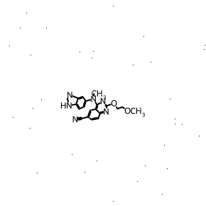 COCCOc1nc(N(C)c2ccc3[nH]cnc3c2)c2cc(C#N)ccc2n1